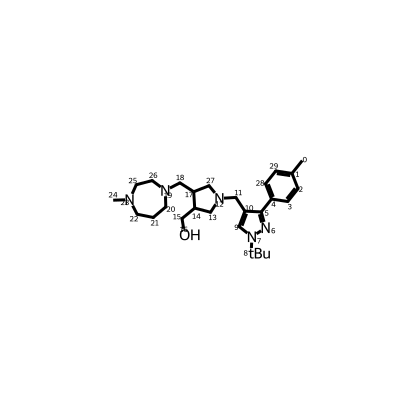 Cc1ccc(-c2nn(C(C)(C)C)cc2CN2CC(CO)C(CN3CCCN(C)CC3)C2)cc1